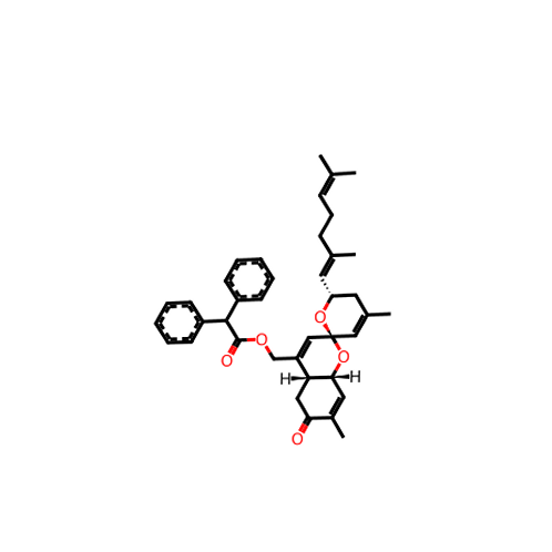 CC(C)=CCC/C(C)=C/[C@@H]1CC(C)=C[C@]2(C=C(COC(=O)C(c3ccccc3)c3ccccc3)[C@H]3CC(=O)C(C)=C[C@H]3O2)O1